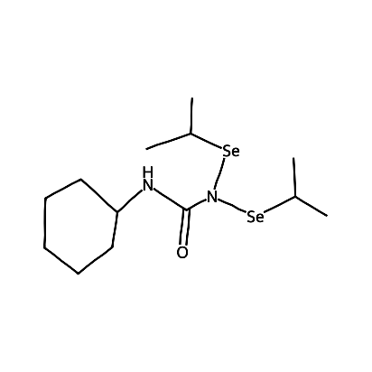 CC(C)[Se]N([Se]C(C)C)C(=O)NC1CCCCC1